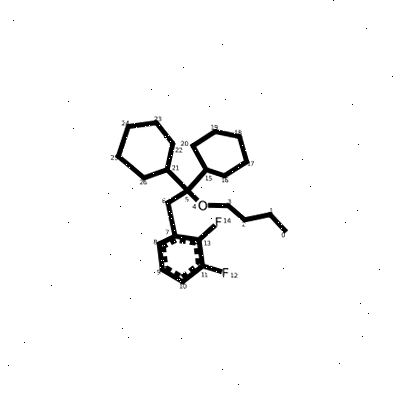 CCCCOC(Cc1cccc(F)c1F)(C1CCCCC1)C1CCCCC1